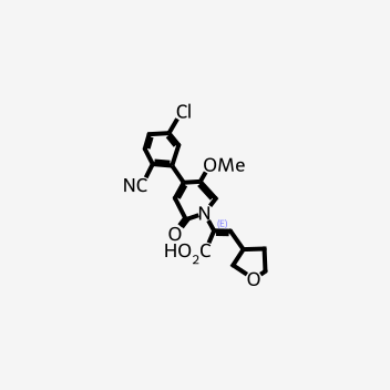 COc1cn(/C(=C/C2CCOC2)C(=O)O)c(=O)cc1-c1cc(Cl)ccc1C#N